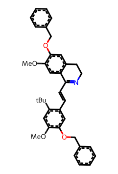 COc1cc(C(C)(C)C)c(/C=C/C2=NCCc3cc(OCc4ccccc4)c(OC)cc32)cc1OCc1ccccc1